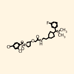 CN(C)C(c1cccc(F)c1)C1CCC(CCNC(=O)COC2CCN(S(=O)(=O)c3ccc(Cl)cc3Cl)C2)CC1